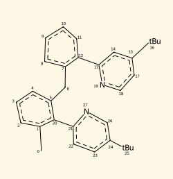 Cc1cccc(Cc2ccccc2-c2cc(C(C)(C)C)ccn2)c1-c1ccc(C(C)(C)C)cn1